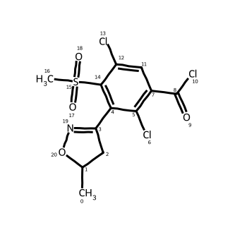 CC1CC(c2c(Cl)c(C(=O)Cl)cc(Cl)c2S(C)(=O)=O)=NO1